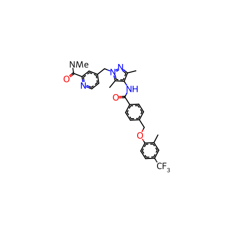 CNC(=O)c1cc(Cn2nc(C)c(NC(=O)c3ccc(COc4ccc(C(F)(F)F)cc4C)cc3)c2C)ccn1